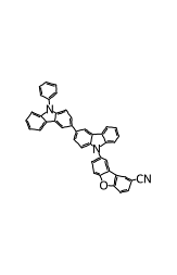 N#Cc1ccc2oc3ccc(-n4c5ccccc5c5cc(-c6ccc7c(c6)c6ccccc6n7-c6ccccc6)ccc54)cc3c2c1